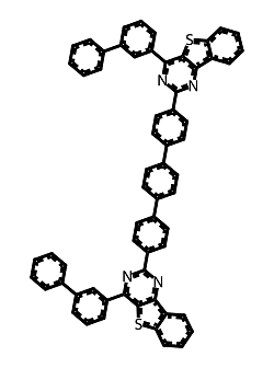 c1ccc(-c2cccc(-c3nc(-c4ccc(-c5ccc(-c6ccc(-c7nc(-c8cccc(-c9ccccc9)c8)c8sc9ccccc9c8n7)cc6)cc5)cc4)nc4c3sc3ccccc34)c2)cc1